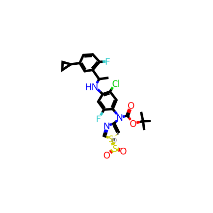 CC(Nc1cc(F)c(N(C(=O)OC(C)(C)C)C2=C[S@](=S(=O)=O)C=N2)cc1Cl)c1cc(C2CC2)ccc1F